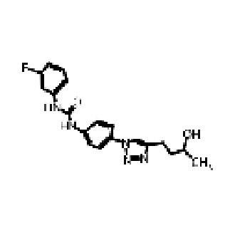 CC(O)CCc1cn(-c2ccc(NC(=O)Nc3cccc(F)c3)cc2)nn1